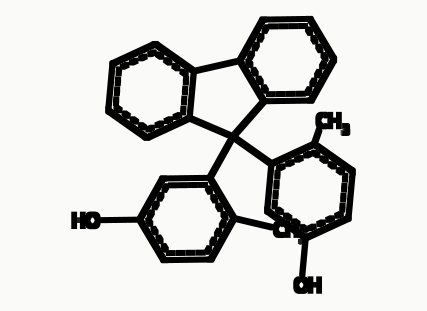 Cc1ccc(O)cc1C1(c2cc(O)ccc2C)c2ccccc2-c2ccccc21